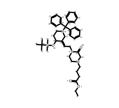 CCOC(=O)CCCN1CCN(CC=C2CN(C(c3ccccc3)(c3ccccc3)c3ccccc3)CCC2O[Si](C)(C)C(C)(C)C)C(=O)C1